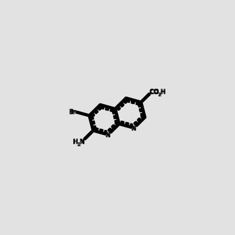 Nc1nc2ncc(C(=O)O)cc2cc1Br